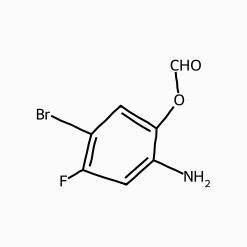 Nc1cc(F)c(Br)cc1OC=O